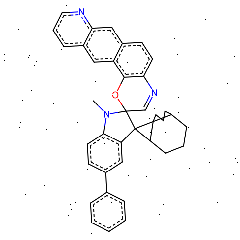 CN1c2ccc(-c3ccccc3)cc2C2(C3CCCC4CCCC432)C12C=Nc1ccc3cc4ncccc4cc3c1O2